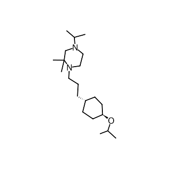 CC(C)O[C@H]1CC[C@H](CCCN2CCN(C(C)C)CC2(C)C)CC1